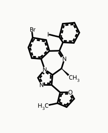 Cc1ccoc1-c1ncn2c1[C@H](C)N=C(c1ccccc1I)c1cc(Br)ccc1-2